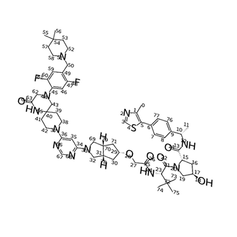 Cc1ncsc1-c1ccc([C@H](C)NC(=O)[C@@H]2C[C@@H](O)CN2C(=O)[C@@H](NC(=O)CO[C@@H]2C[C@@H]3CN(c4cc(N5CCC6(CC5)CN(c5cc(F)c(CN7CCC(C)(C)CC7)cc5F)CC(=O)N6)ncn4)C[C@@H]3C2)C(C)(C)C)cc1